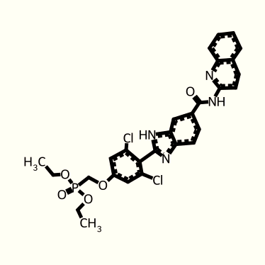 CCOP(=O)(COc1cc(Cl)c(-c2nc3ccc(C(=O)Nc4ccc5ccccc5n4)cc3[nH]2)c(Cl)c1)OCC